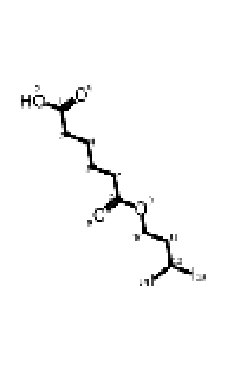 O=C(O)CCCCC(=O)OCCC(I)I